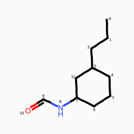 CCCC1CCCC(N[C]=O)C1